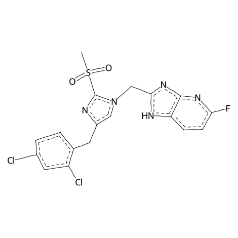 CS(=O)(=O)c1nc(Cc2ccc(Cl)cc2Cl)cn1Cc1nc2nc(F)ccc2[nH]1